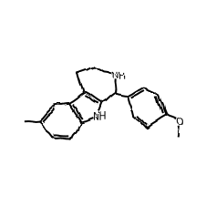 COc1ccc(C2NCCc3c2[nH]c2ccc(C)cc32)cc1